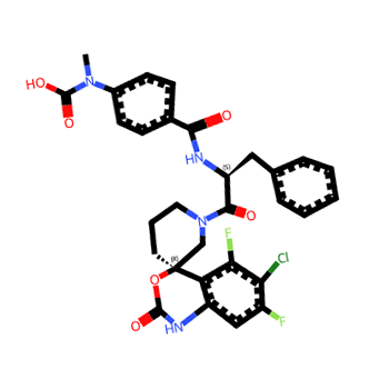 CN(C(=O)O)c1ccc(C(=O)N[C@@H](Cc2ccccc2)C(=O)N2CCC[C@@]3(C2)OC(=O)Nc2cc(F)c(Cl)c(F)c23)cc1